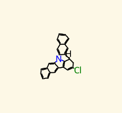 ClC1=Cc2c3n(c4cc5ccccc5cc24)-c2cc4ccccc4cc2[C@@H]3C1